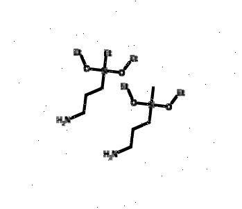 CCO[Si](C)(CCCN)OCC.CCO[Si](CC)(CCCN)OCC